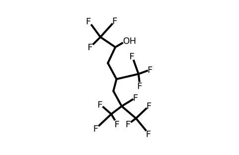 OC(CC(CC(F)(C(F)(F)F)C(F)(F)F)C(F)(F)F)C(F)(F)F